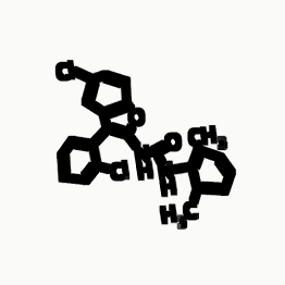 Cc1cccc(C)c1NC(=O)Nc1oc2ccc(Cl)cc2c1-c1ccccc1Cl